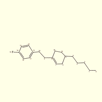 CCCCCC1CC=C(CCc2ccc(F)cc2)CC1